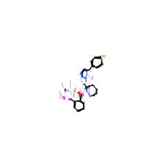 Cc1noc(-c2ccccc2C(=O)N2CCCCC2Cn2ccc(-c3ccc(F)cc3)n2)n1